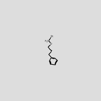 CC[SiH2]OCCCc1ccccc1